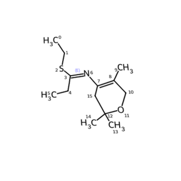 CCS/C(CC)=N/C1=C(C)COC(C)(C)C1